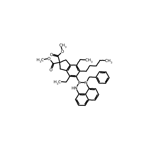 CCCCCc1c(CC)c2c(c(CC)c1B1Nc3cccc4cccc(c34)N1Cc1ccccc1)CC(C(=O)OC)(C(=O)OC)C2